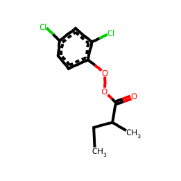 CCC(C)C(=O)OOc1ccc(Cl)cc1Cl